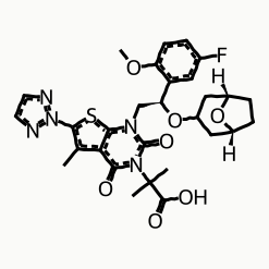 COc1ccc(F)cc1[C@H](Cn1c(=O)n(C(C)(C)C(=O)O)c(=O)c2c(C)c(-n3nccn3)sc21)OC1C[C@H]2CC[C@@H](C1)O2